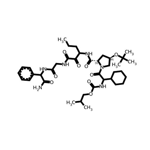 CCCC(NC(=O)[C@@H]1C[C@@H](OC(C)(C)C)CN1C(=O)C(NC(=O)OCC(C)C)C1CCCCC1)C(=O)C(=O)NCC(=O)NC(C(N)=O)c1ccccc1